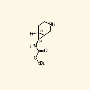 CC(C)(C)OC(=O)N[C@@H]1C2CNCC[C@H]21